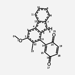 COc1cc2c([nH]c3ccccc32)c(C2=CC(=O)C=CC2=O)c1C